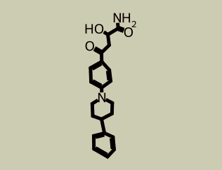 NC(=O)C(O)CC(=O)c1ccc(N2CCC(c3ccccc3)CC2)cc1